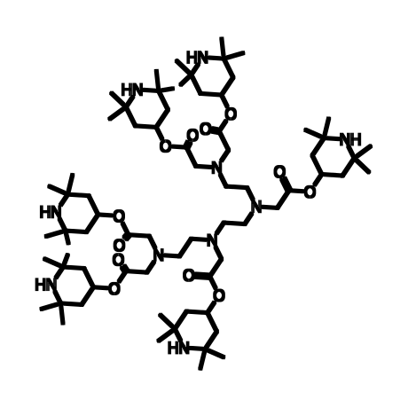 CC1(C)CC(OC(=O)CN(CCN(CCN(CC(=O)OC2CC(C)(C)NC(C)(C)C2)CC(=O)OC2CC(C)(C)NC(C)(C)C2)CC(=O)OC2CC(C)(C)NC(C)(C)C2)CCN(CC(=O)OC2CC(C)(C)NC(C)(C)C2)CC(=O)OC2CC(C)(C)NC(C)(C)C2)CC(C)(C)N1